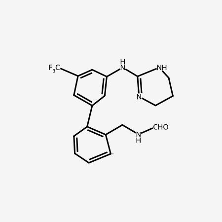 O=CNCc1[c]cccc1-c1cc(NC2=NCCCN2)cc(C(F)(F)F)c1